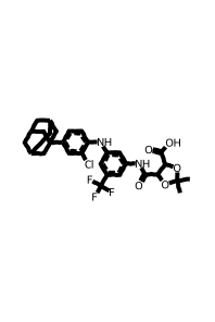 CC1(C)OC(C(=O)O)C(C(=O)Nc2cc(Nc3ccc(C45CC6CC(CC(C6)C4)C5)cc3Cl)cc(C(F)(F)F)c2)O1